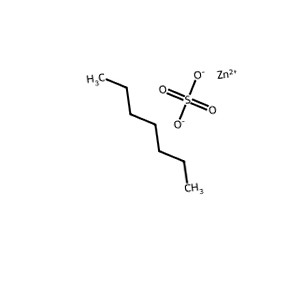 CCCCCCC.O=S(=O)([O-])[O-].[Zn+2]